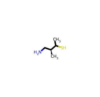 CC(S)[C@@H](C)CN